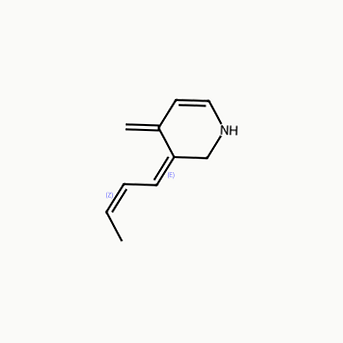 C=C1C=CNC/C1=C/C=C\C